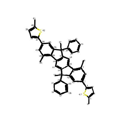 Cc1ccc(-c2cc(C)c3c(c2)C(C)(c2ccccc2)c2cc4c(cc2-3)C(C)(c2ccccc2)c2cc(-c3ccc(C)s3)cc(C)c2-4)s1